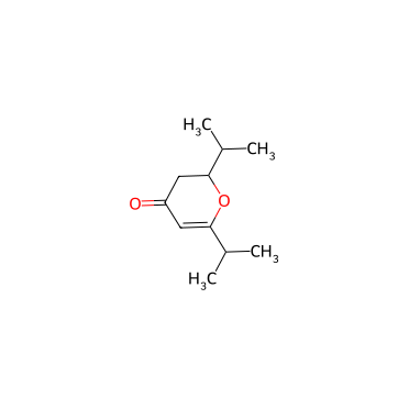 CC(C)C1=CC(=O)CC(C(C)C)O1